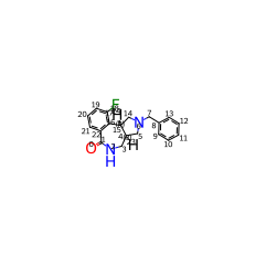 O=C1NC[C@@H]2CN(Cc3ccccc3)C[C@H]2c2c(F)cccc21